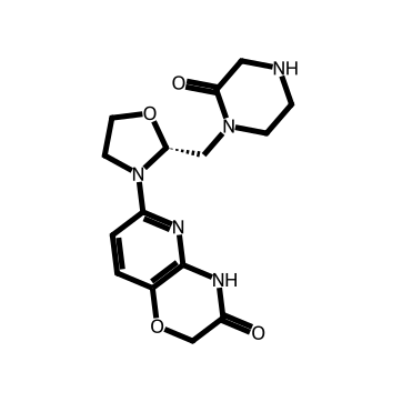 O=C1COc2ccc(N3CCO[C@@H]3CN3CCNCC3=O)nc2N1